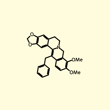 COc1ccc2c(c1OC)CN1CCc3cc4c(cc3C1=C2Cc1ccccc1)OCO4